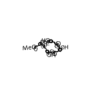 COC(=O)CCc1ccc(O)c(COC(=O)CCc2ccc(O)c(COC(=O)CCc3ccc(O)c(COC(=O)CCc4ccc(O)c(C)c4)c3)c2)c1